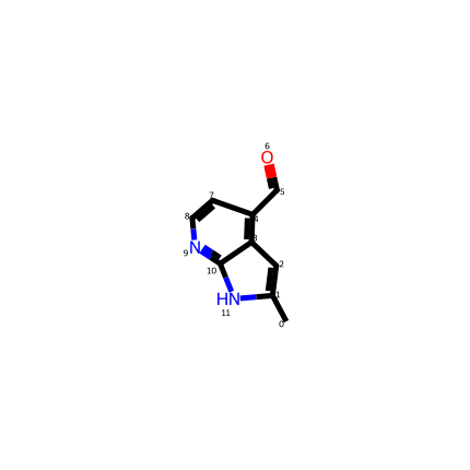 Cc1cc2c(C=O)ccnc2[nH]1